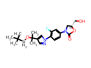 CC(C)(C)[SiH2]OC(C)(C)c1cnn(-c2ccc(N3C[C@H](CO)OC3=O)cc2F)c1